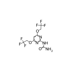 NC(=O)Nc1nc(OCC(F)(F)F)cc(OCC(F)(F)F)n1